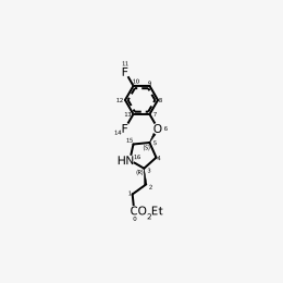 CCOC(=O)CC[C@@H]1C[C@H](Oc2ccc(F)cc2F)CN1